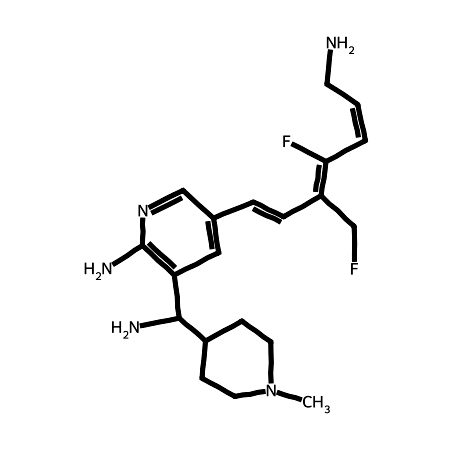 CN1CCC(C(N)c2cc(C=C/C(CF)=C(F)/C=C\CN)cnc2N)CC1